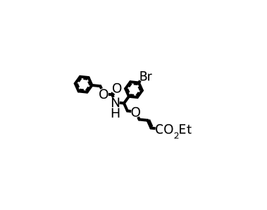 CCOC(=O)C=CCOCC(NC(=O)OCc1ccccc1)c1ccc(Br)cc1